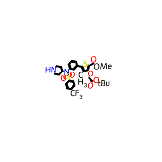 COC(=O)c1sc(-c2cccc(N(C3CCNCC3)S(=O)(=O)c3ccc(C(F)(F)F)cc3)c2)c(C)c1OCC(=O)OC(C)(C)C